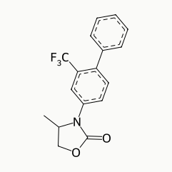 CC1COC(=O)N1c1ccc(-c2ccccc2)c(C(F)(F)F)c1